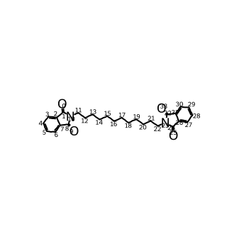 O=C1c2ccccc2C(=O)N1CCCCCCCCCCCCN1C(=O)c2ccccc2C1=O